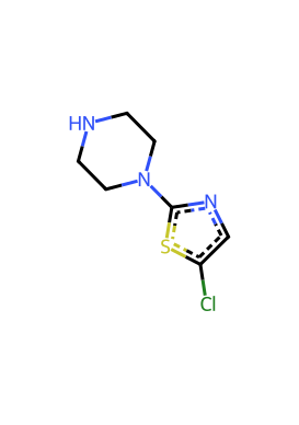 Clc1cnc(N2CCNCC2)s1